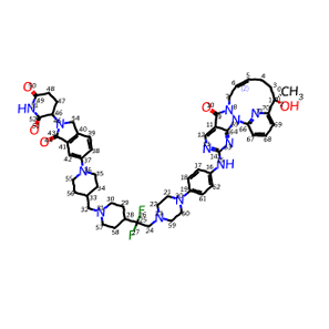 C[C@@]1(O)CC/C=C\Cn2c(=O)c3cnc(Nc4ccc(N5CCN(CC(F)(F)C6CCN(CC7CCN(c8ccc9c(c8)C(=O)N(C8CCC(=O)NC8=O)C9)CC7)CC6)CC5)cc4)nc3n2-c2cccc1n2